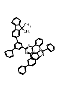 CC1(C)c2ccccc2-c2ccc(-c3cc(-c4ccccc4)cc(-c4nc(-c5cccc(-c6ccccc6)c5)nc(-c5ccccc5-n5c(-c6ccccc6)nc6ccccc65)n4)c3)cc21